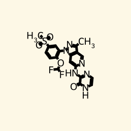 Cc1nn(-c2cc(S(C)(=O)=O)ccc2OC(F)F)c2cc(Nc3ncc[nH]c3=O)ncc12